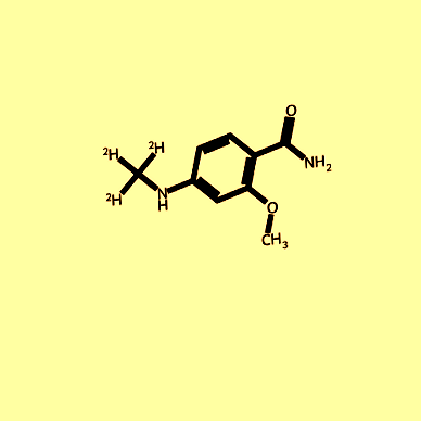 [2H]C([2H])([2H])Nc1ccc(C(N)=O)c(OC)c1